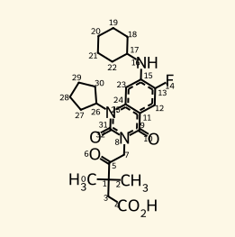 CC(C)(CC(=O)O)C(=O)Cn1c(=O)c2cc(F)c(NC3CCCCC3)cc2n(C2CCCC2)c1=O